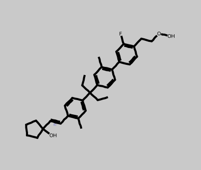 CCC(CC)(c1ccc(/C=C/C2(O)CCCC2)c(C)c1)c1ccc(-c2ccc(CCOO)c(F)c2)c(C)c1